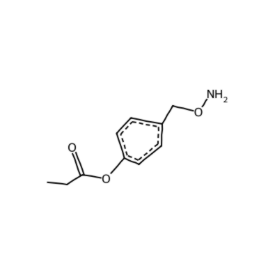 CCC(=O)Oc1ccc(CON)cc1